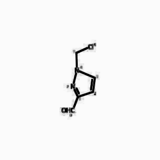 O=Cc1ccn(CCl)n1